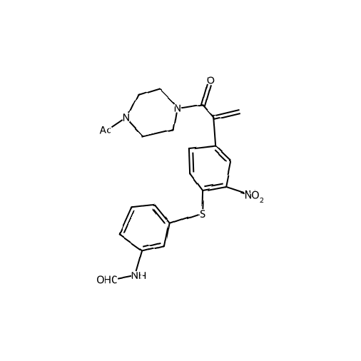 C=C(C(=O)N1CCN(C(C)=O)CC1)c1ccc(Sc2cccc(NC=O)c2)c([N+](=O)[O-])c1